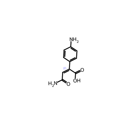 NC(=O)/C=C(\C(=O)O)c1ccc(N)cc1